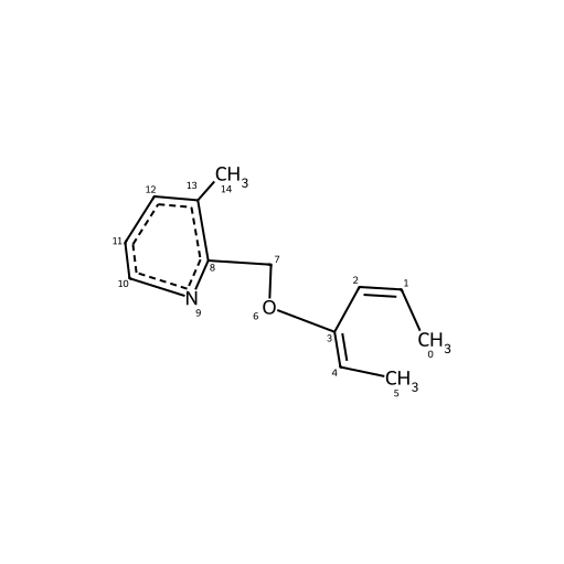 C/C=C\C(=C/C)OCc1ncccc1C